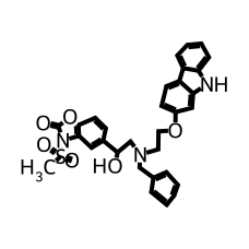 CS(=O)(=O)n1c(=O)oc2ccc(C(O)CN(CCOc3ccc4c(c3)[nH]c3ccccc34)Cc3ccccc3)cc21